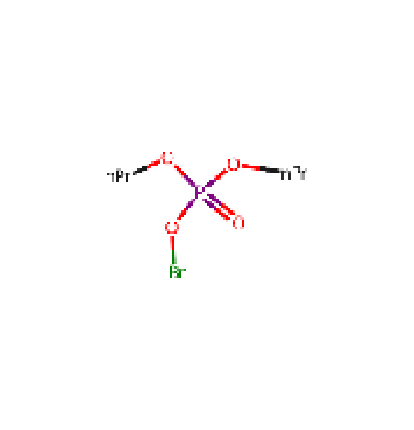 CCCOP(=O)(OBr)OCCC